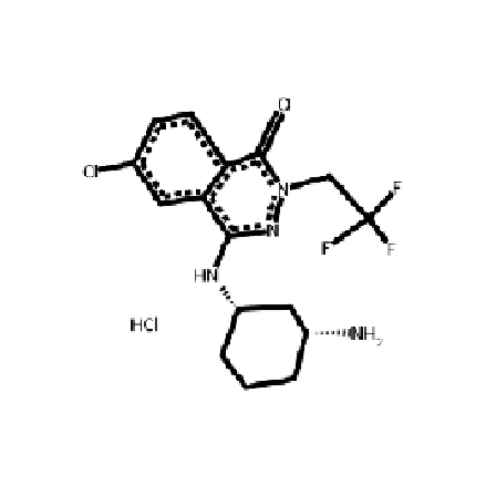 Cl.N[C@@H]1CCC[C@H](Nc2nn(CC(F)(F)F)c(=O)c3ccc(Cl)cc23)C1